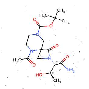 CC(=O)N1CCN(C(=O)OC(C)(C)C)CC12CN([C@H](C(N)=O)[C@@H](C)O)C2=O